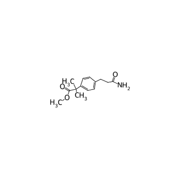 COC(=O)C(C)(C)c1ccc(CCC(N)=O)cc1